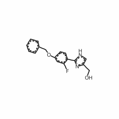 OCc1c[nH]c(-c2ccc(OCc3ccccc3)cc2F)n1